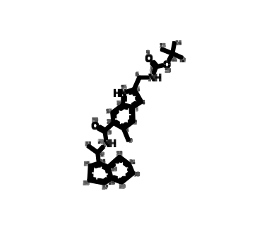 Cc1cc2cc(CNC(=O)OC(C)(C)C)[nH]c2cc1C(=O)NC(C)c1cccc2ccccc12